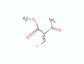 COC(=O)/C(=C\S)C(C)=O